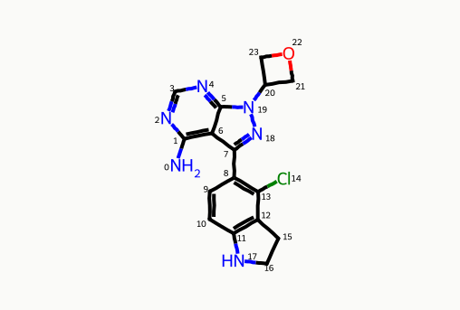 Nc1ncnc2c1c(-c1ccc3c(c1Cl)CCN3)nn2C1COC1